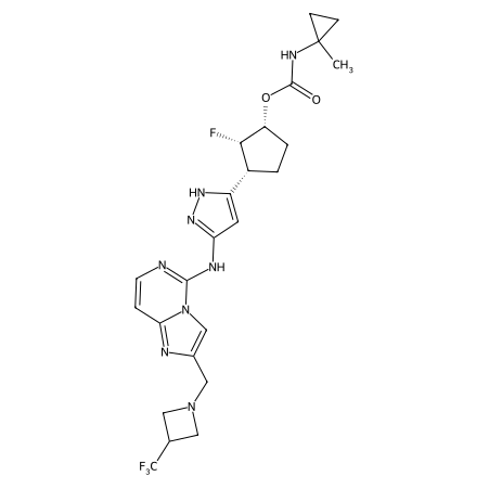 CC1(NC(=O)O[C@@H]2CC[C@H](c3cc(Nc4nccc5nc(CN6CC(C(F)(F)F)C6)cn45)n[nH]3)[C@@H]2F)CC1